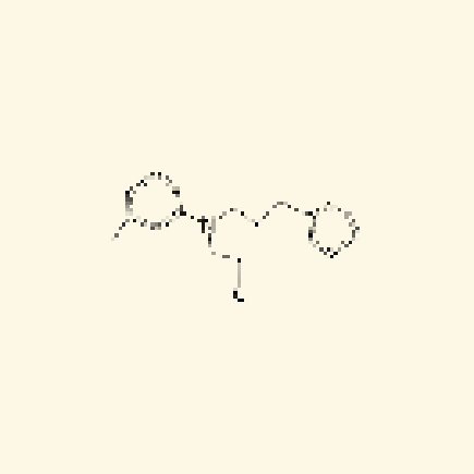 Cc1cccc(N(CCCl)CCCc2ccccc2)c1